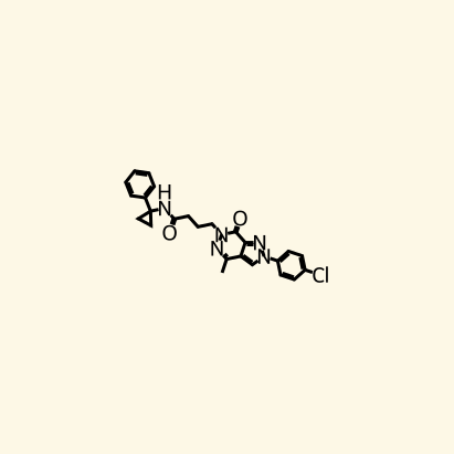 Cc1nn(CCCC(=O)NC2(c3ccccc3)CC2)c(=O)c2nn(-c3ccc(Cl)cc3)cc12